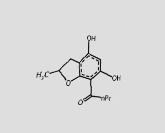 CCCC(=O)c1c(O)cc(O)c2c1OC(C)C2